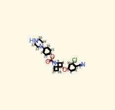 N#Cc1ccc(OC2CC3N(C(=O)Oc4ccc(N5CCNCC5)cc4)C4CCC243)cc1Cl